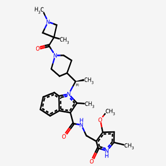 COc1cc(C)[nH]c(=O)c1CNC(=O)c1c(C)n([C@H](C)C2CCN(C(=O)C3(C)CN(C)C3)CC2)c2ccccc12